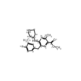 COC(=O)c1nc(Cc2ccc(F)cc2)c(N[C@@H]2CCNC[C@H]2C)nc1C